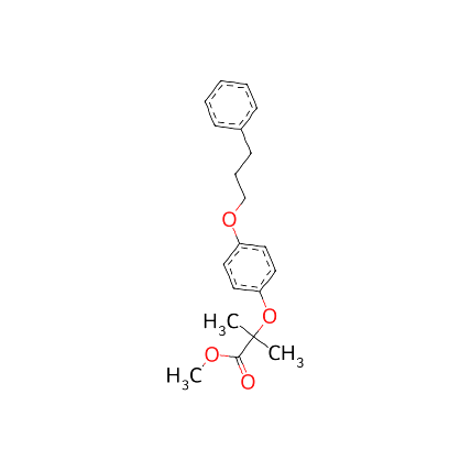 COC(=O)C(C)(C)Oc1ccc(OCCCc2ccccc2)cc1